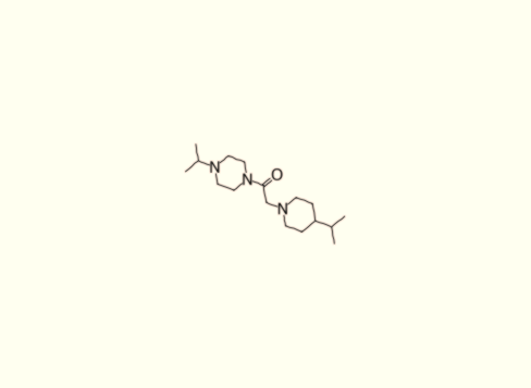 CC(C)C1CCN(CC(=O)N2CCN(C(C)C)CC2)CC1